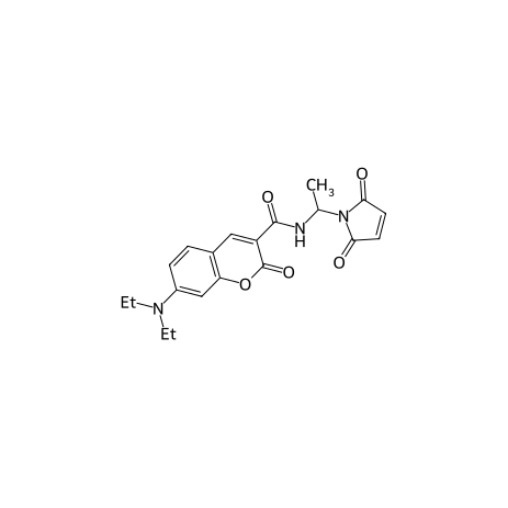 CCN(CC)c1ccc2cc(C(=O)NC(C)N3C(=O)C=CC3=O)c(=O)oc2c1